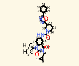 CC(C)n1c(=O)n(CC2CC2)c(=O)c2cc(NC(=O)N3CCCC(c4nnc(-c5ccccc5)o4)C3)ccc21